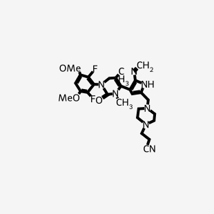 C=Nc1[nH]c(CN2CCN(CCC#N)CC2)cc1C1=C(C)CN(c2c(F)c(OC)cc(OC)c2F)C(=O)N1C